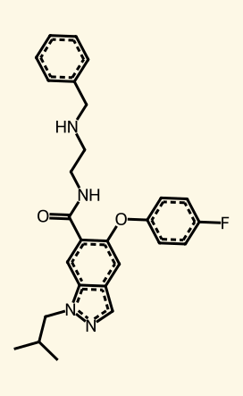 CC(C)Cn1ncc2cc(Oc3ccc(F)cc3)c(C(=O)NCCNCc3ccccc3)cc21